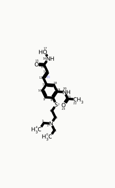 CCN(CC)CCSc1ccc(/C=C/C(=O)NO)cc1NC(C)=O